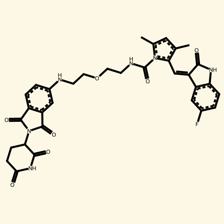 Cc1cc(C)n(C(=O)NCCOCCNc2ccc3c(c2)C(=O)N(C2CCC(=O)NC2=O)C3=O)c1/C=C1\C(=O)Nc2ccc(F)cc21